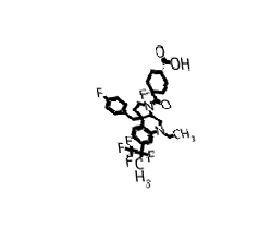 CCN1CC2N(C(=O)[C@]3(F)CC[C@@H](C(=O)O)CC3)CCC2(Cc2ccc(F)cc2)c2ccc(C(C)(F)C(F)(F)F)cc21